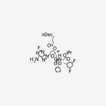 C#C[C@]1(CO[P@@](=O)(N[C@@H](Cc2cc(F)cc(F)c2)C(=O)OC(C)C)Oc2ccccc2)O[C@@H](n2cnc3c(N)nc(F)nc32)C[C@@H]1OC(=O)CCCCCCCCCCCCC